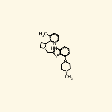 Cc1cccnc1C1CCN1Cc1nc2c(N3CCN(C)CC3)cccc2[nH]1